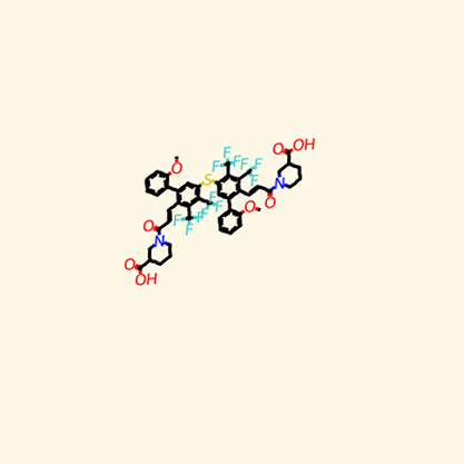 COc1ccccc1-c1cc(Sc2cc(-c3ccccc3OC)c(/C=C/C(=O)N3CCCC(C(=O)O)C3)c(C(F)(F)F)c2C(F)(F)F)c(C(F)(F)F)c(C(F)(F)F)c1/C=C/C(=O)N1CCCC(C(=O)O)C1